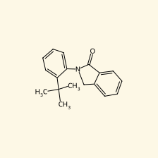 CC(C)(C)c1ccccc1N1Cc2ccccc2C1=O